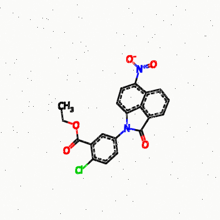 CCOC(=O)c1cc(N2C(=O)c3cccc4c([N+](=O)[O-])ccc2c34)ccc1Cl